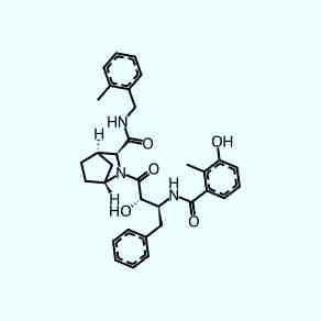 Cc1ccccc1CNC(=O)[C@@H]1[C@@H]2CC[C@H](C2)N1C(=O)[C@@H](O)[C@H](Cc1ccccc1)NC(=O)c1cccc(O)c1C